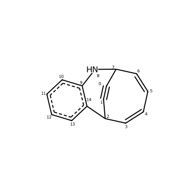 C1#CC2/C=C\C=C/C1Nc1ccccc12